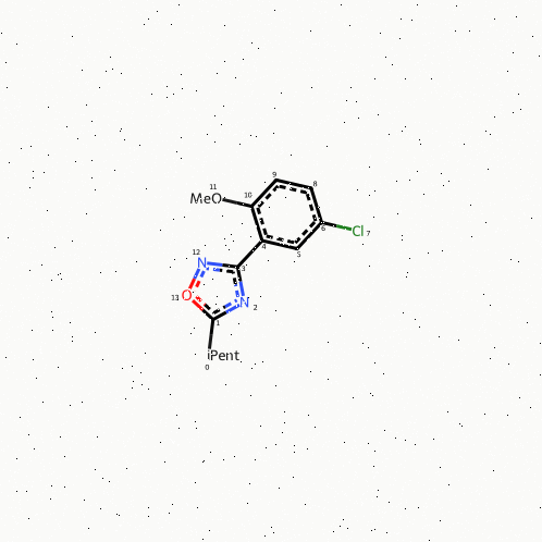 CCCC(C)c1nc(-c2cc(Cl)ccc2OC)no1